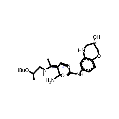 C=C(/N=C\C(C(N)=O)=C(/C)NCC(C)OCC(C)C)Nc1ccc2c(c1)NC[C@H](O)CO2